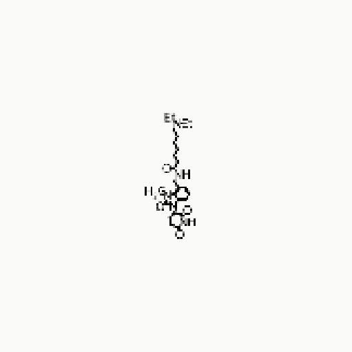 CCN(CC)CCCCCCC(=O)NCc1cccc2c1n(C)c(=O)n2C1CCC(=O)NC1=O